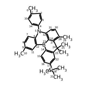 Cc1ccc(N2c3ccc(C)cc3B3c4ccc([Si](C)(C)C)cc4C(C)(C)c4c(C)ccc2c43)cc1